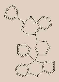 C1=CC(C2(c3ccccc3)c3ccccc3Oc3ccccc32)=CC(C2=c3ccccc3=NC(c3ccccc3)=CC2)C1